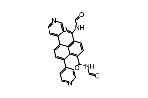 O=CNC(=O)c1ccc(C(=O)NC=O)c2c(-c3ccncc3)ccc(-c3ccncc3)c12